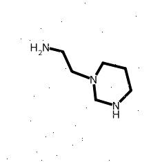 NCCN1CCCNC1